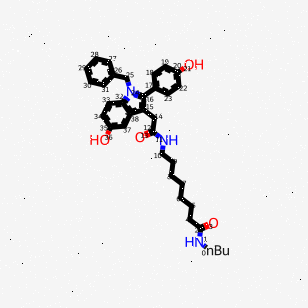 CCCCNC(=O)CCCCCCCNC(=O)Cc1c(-c2ccc(O)cc2)n(Cc2ccccc2)c2ccc(O)cc12